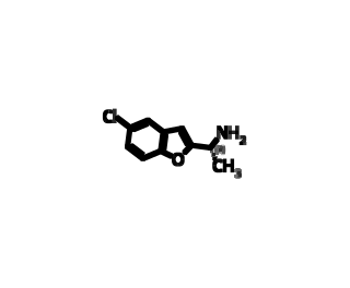 C[C@@H](N)c1cc2cc(Cl)ccc2o1